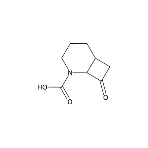 O=C1CC2CCCN(C(=O)O)C12